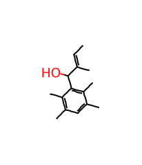 C/C=C(\C)C(O)c1c(C)c(C)cc(C)c1C